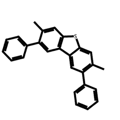 Cc1cc2sc3cc(C)c(-c4ccccc4)cc3c2cc1-c1ccccc1